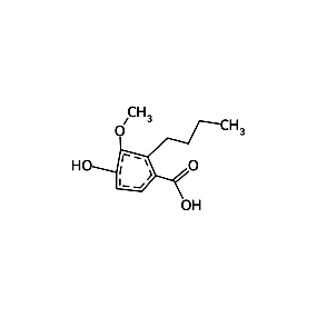 CCCCc1c(C(=O)O)ccc(O)c1OC